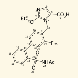 CCOc1ncc(C(=O)O)n1Cc1ccc(-c2ccccc2S(=O)(=O)NC(C)=O)cc1F